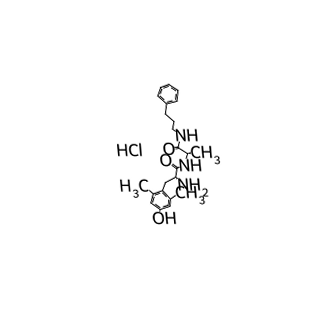 Cc1cc(O)cc(C)c1C[C@H](N)C(=O)N[C@H](C)C(=O)NCCCc1ccccc1.Cl